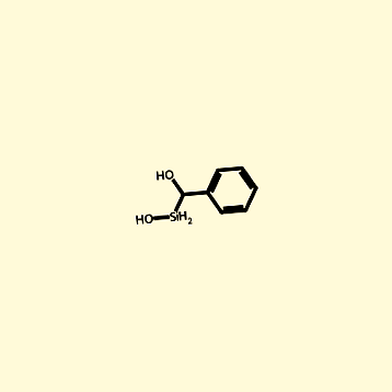 O[SiH2]C(O)c1ccccc1